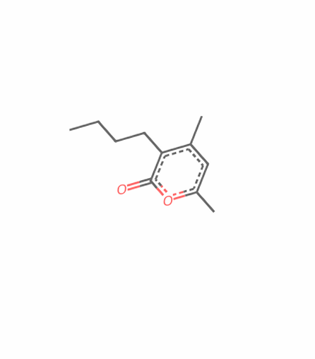 CCCCc1c(C)cc(C)oc1=O